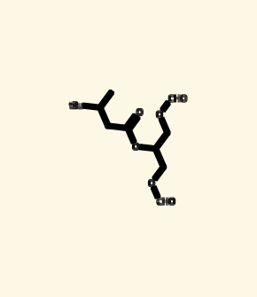 CC(CC(=O)OC(COC=O)COC=O)C(C)(C)C